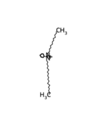 CCCCCCCCCCCCCCCCCCC[n+]1ccn(CCCCCCCCCCCCCC)c1-c1ccccc1